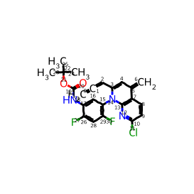 C=C=CC1=CC(=C)c2ccc(Cl)nc2N1c1cc(NC(=O)OC(C)(C)C)c(F)cc1F